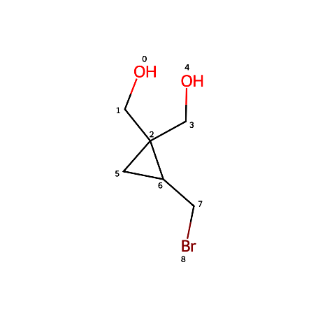 OCC1(CO)CC1CBr